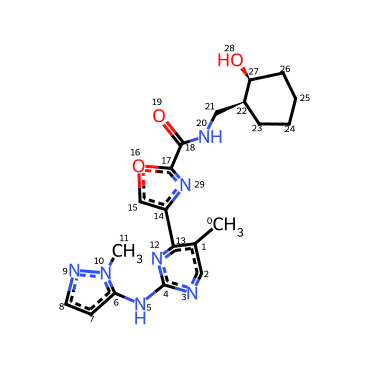 Cc1cnc(Nc2ccnn2C)nc1-c1coc(C(=O)NC[C@@H]2CCCC[C@@H]2O)n1